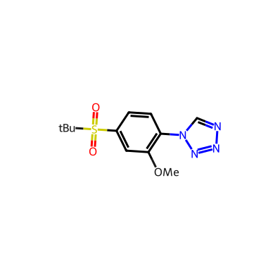 COc1cc(S(=O)(=O)C(C)(C)C)ccc1-n1cnnn1